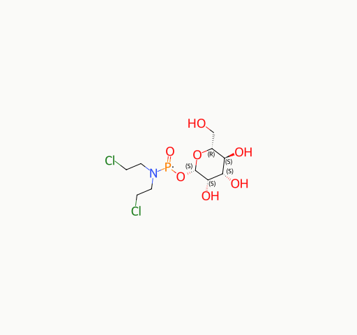 O=[P](O[C@@H]1O[C@H](CO)[C@@H](O)[C@H](O)[C@@H]1O)N(CCCl)CCCl